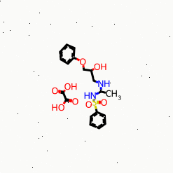 CC(NCC(O)COc1ccccc1)NS(=O)(=O)c1ccccc1.O=C(O)C(=O)O